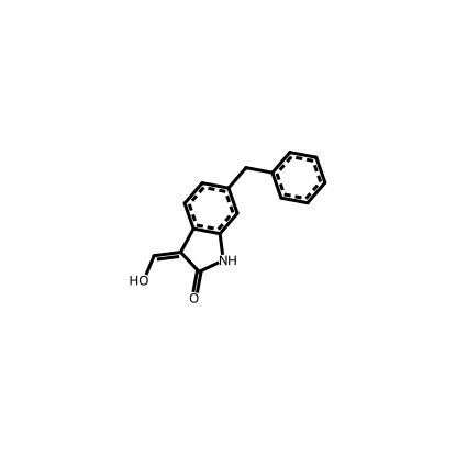 O=C1Nc2cc(Cc3ccccc3)ccc2/C1=C/O